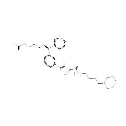 O=C(O)CCCCC=C(c1cccnc1)c1cccc(C2=NC(C(=O)NCCCCC3CCCCC3)CO2)c1